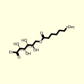 CCCCCCCCCCCCCCCC(=O)OC[C@@H](O)[C@@H](O)[C@H](O)[C@@H](O)C(=O)CC